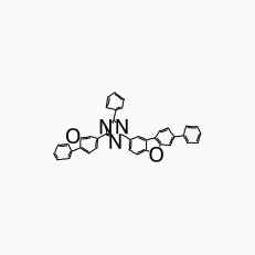 c1ccc(-c2ccc3c(c2)oc2ccc(-c4nc(-c5ccccc5)nc(-c5ccc6c(c5)oc5ccccc56)n4)cc23)cc1